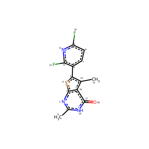 Cc1nc2sc(-c3ccc(F)nc3F)c(C)c2c(=O)[nH]1